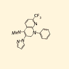 CNC1=C(n2cccn2)CN(c2ccccc2)c2nc(C(F)(F)F)ccc21